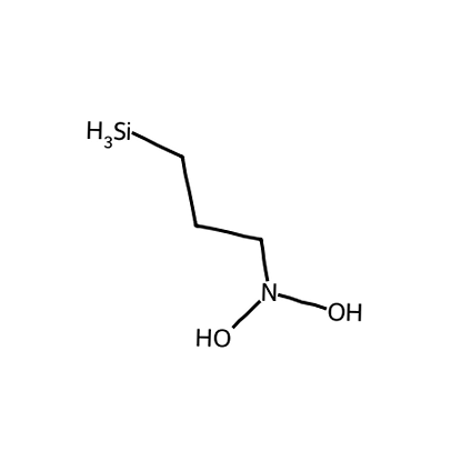 ON(O)CCC[SiH3]